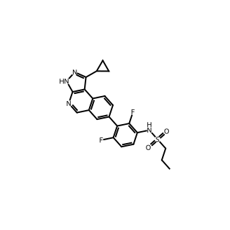 CCCS(=O)(=O)Nc1ccc(F)c(-c2ccc3c(cnc4[nH]nc(C5CC5)c43)c2)c1F